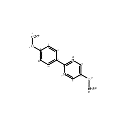 CCCCCCCCOc1ccc(-c2ncc(OCCCCCC)cn2)cc1